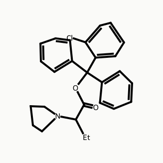 CCC(C(=O)OC(c1ccccc1)(c1ccccc1)c1ccccc1Cl)N1CCCC1